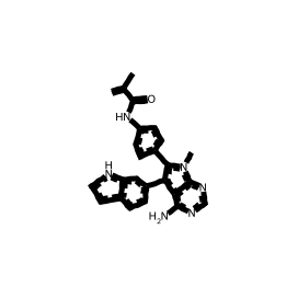 C=C(C)C(=O)Nc1ccc(-c2c(-c3ccc4cc[nH]c4c3)c3c(N)ncnc3n2C)cc1